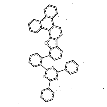 c1ccc(-c2nc(-c3ccccc3)nc(-c3ccccc3-c3cccc4c3oc3c4ccc4c5ccccc5c5ccccc5c43)n2)cc1